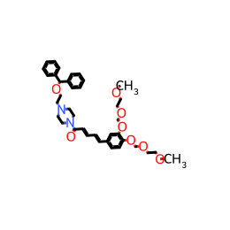 COCCOCOc1ccc(C=CC=CC(=O)N2CCN(CCOC(c3ccccc3)c3ccccc3)CC2)cc1OCOCCOC